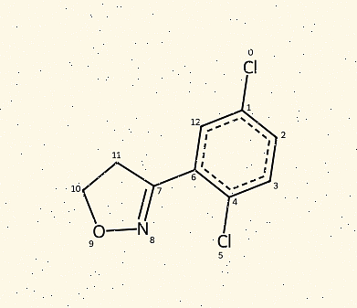 Clc1ccc(Cl)c(C2=NOCC2)c1